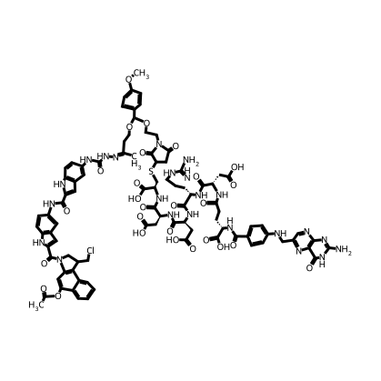 COc1ccc(C(OCC/C(C)=N\NC(=O)Nc2ccc3[nH]c(C(=O)Nc4ccc5[nH]c(C(=O)N6CC(CCl)c7c6cc(OC(C)=O)c6ccccc76)cc5c4)cc3c2)OCCN2C(=O)CC(SC[C@@H](NC(=O)[C@H](CC(=O)O)NC(=O)[C@H](CC(=O)O)NC(=O)[C@H](CCCNC(=N)N)NC(=O)[C@H](CC(=O)O)NC(=O)CC[C@H](NC(=O)c3ccc(NCc4cnc5nc(N)[nH]c(=O)c5n4)cc3)C(=O)O)C(=O)O)C2=O)cc1